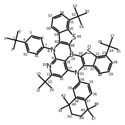 CC(C)(C)c1ccc(N2c3nc(C(C)(C)C)cc4c3B(c3sc5c(C(C)(C)C)cccc5c3N4c3ccc4c(c3)C(C)(C)CCC4(C)C)c3sc4c(C(C)(C)C)cccc4c32)cc1